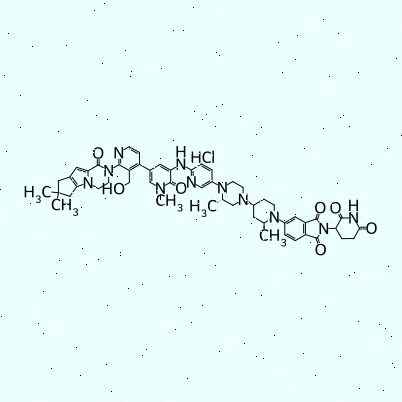 C[C@H]1C[C@@H](N2CCN(c3ccc(Nc4cc(-c5ccnc(N6CCn7c(cc8c7CC(C)(C)C8)C6=O)c5CO)cn(C)c4=O)nc3)[C@@H](C)C2)CCN1c1ccc2c(c1)C(=O)N(C1CCC(=O)NC1=O)C2=O.Cl